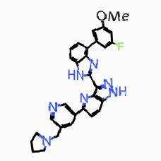 COc1cc(F)cc(-c2cccc3[nH]c(-c4n[nH]c5ccc(-c6cncc(CN7CCCC7)c6)nc45)nc23)c1